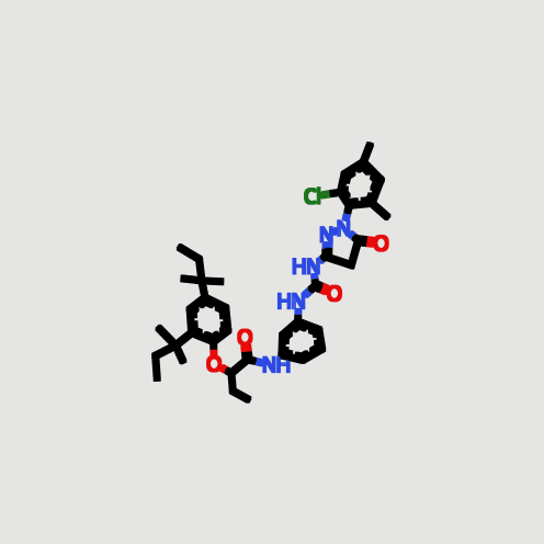 CCC(Oc1ccc(C(C)(C)CC)cc1C(C)(C)CC)C(=O)Nc1cccc(NC(=O)NC2=NN(c3c(C)cc(C)cc3Cl)C(=O)C2)c1